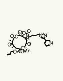 C=CCO[C@@H]1[C@@H](C)C(=O)[C@@H](C)C(=O)O[C@H](CC)[C@@]2(C)OC(=O)N(CCCCn3cnc(-c4cccnc4)c3)[C@@H]2[C@@H](C)C(=O)[C@H](C)C[C@]1(C)OC